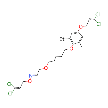 CCc1cc(OCC=C(Cl)Cl)cc(C)c1OCCCCCOC/C=N/OCC=C(Cl)Cl